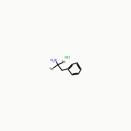 Cl.[2H]C([2H])(N)Cc1ccccc1